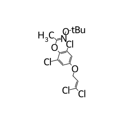 CC(=NOC(C)(C)C)Oc1c(Cl)cc(OCC=C(Cl)Cl)cc1Cl